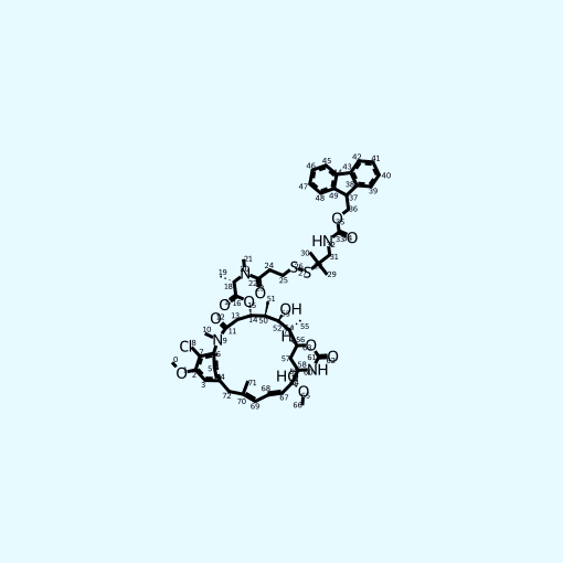 COc1cc2cc(c1Cl)N(C)C(=O)C[C@H](OC(=O)[C@H](C)N(C)C(=O)CCSSC(C)(C)CNC(=O)OCC1c3ccccc3-c3ccccc31)[C@@H](C)[C@@H](O)[C@H](C)[C@@H]1C[C@@](O)(NC(=O)O1)[C@H](OC)/C=C/C=C(\C)C2